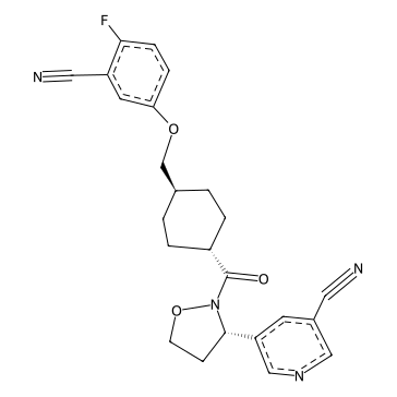 N#Cc1cncc([C@@H]2CCON2C(=O)[C@H]2CC[C@H](COc3ccc(F)c(C#N)c3)CC2)c1